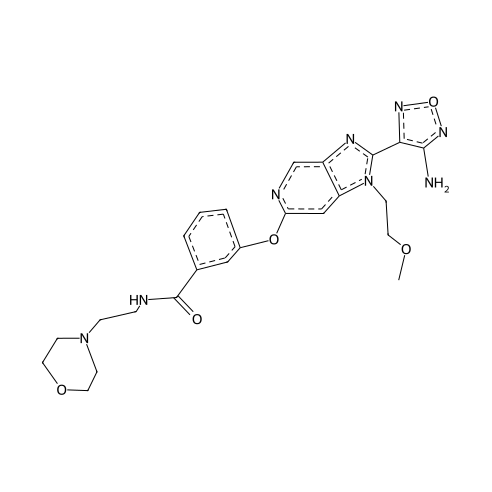 COCCn1c(-c2nonc2N)nc2cnc(Oc3cccc(C(=O)NCCN4CCOCC4)c3)cc21